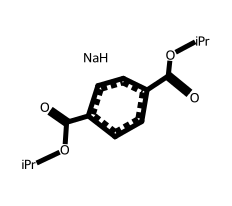 CC(C)OC(=O)c1ccc(C(=O)OC(C)C)cc1.[NaH]